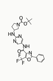 CC(C)(C)OC(=O)N1CCC(Nc2ncc(NC(=O)c3nc(-c4ccccc4)oc3C(F)(F)F)cn2)C1